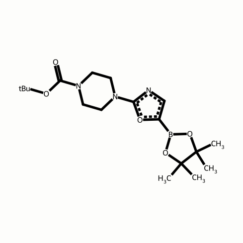 CC(C)(C)OC(=O)N1CCN(c2ncc(B3OC(C)(C)C(C)(C)O3)o2)CC1